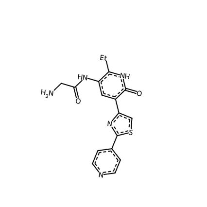 CCc1[nH]c(=O)c(-c2csc(-c3ccncc3)n2)cc1NC(=O)CN